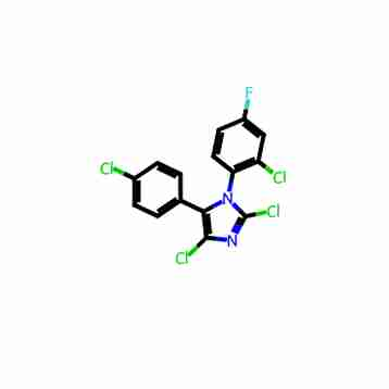 Fc1ccc(-n2c(Cl)nc(Cl)c2-c2ccc(Cl)cc2)c(Cl)c1